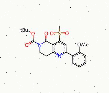 COc1ccccc1-c1cc(S(C)(=O)=O)c2c(n1)CCN(C(=O)OC(C)(C)C)C2=O